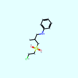 CC(CNc1ccccc1)CS(=O)(=O)CCCl